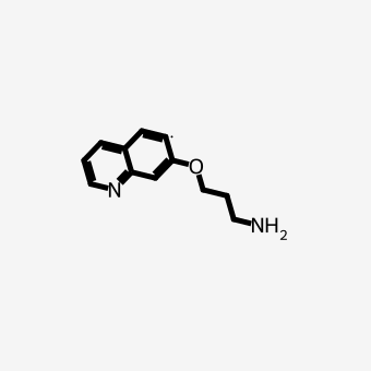 NCCCOc1[c]cc2cccnc2c1